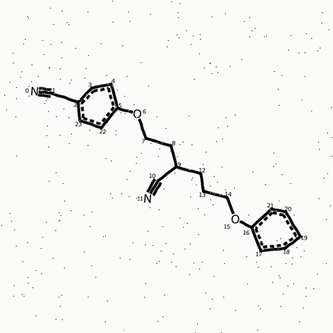 N#Cc1ccc(OCCC(C#N)CCCOc2ccccc2)cc1